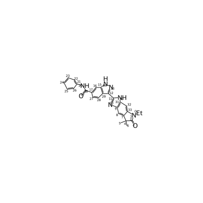 CCN1C(=O)C(C)(C)c2cc3nc(-c4n[nH]c5cc(C(=O)Nc6ccccc6)ccc45)[nH]c3cc21